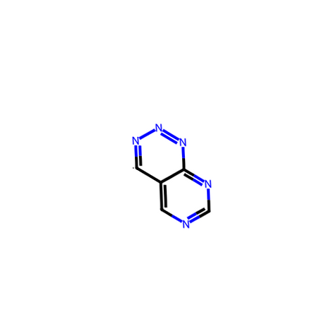 [c]1nnnc2ncncc12